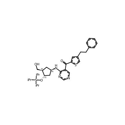 CC(C)[Si](O[C@H]1C[C@H](Nc2ncncc2C(=O)c2cc(CCc3ccccc3)cs2)C[C@@H]1CO)(C(C)C)C(C)C